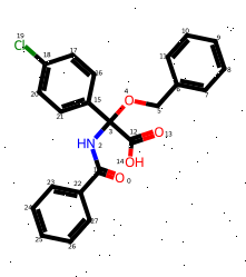 O=C(NC(OCc1ccccc1)(C(=O)O)c1ccc(Cl)cc1)c1ccccc1